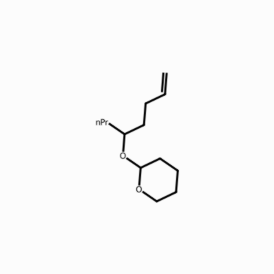 C=CCCC(CCC)OC1CCCCO1